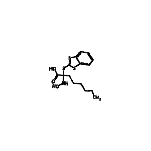 CCCCCCC(NO)(Sc1nc2ccccc2s1)C(=O)O